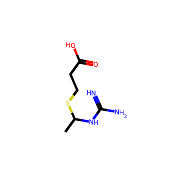 CC(NC(=N)N)SCCC(=O)O